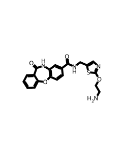 NCCOc1ncc(CNC(=O)c2ccc3c(c2)NC(=O)c2ccccc2O3)s1